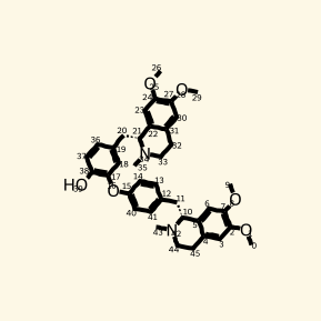 COc1cc2c(cc1OC)[C@@H](Cc1ccc(Oc3cc(C[C@@H]4c5cc(OC)c(OC)cc5CCN4C)ccc3O)cc1)N(C)CC2